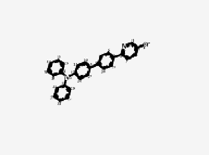 Brc1ccc(-c2ccc(-c3ccc(N(c4ccccc4)c4ccccc4)cc3)cc2)nc1